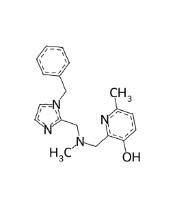 Cc1ccc(O)c(CN(C)Cc2nccn2Cc2ccccc2)n1